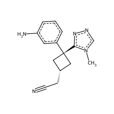 Cn1cnnc1[C@]1(c2cccc(N)c2)C[C@@H](CC#N)C1